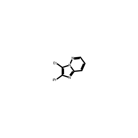 CCc1c(C(C)C)nc2cccnn12